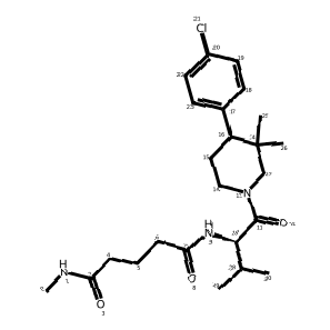 CNC(=O)CCCC(=O)N[C@@H](C(=O)N1CCC(c2ccc(Cl)cc2)C(C)(C)C1)C(C)C